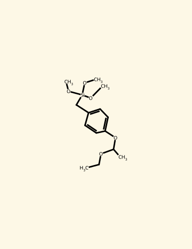 CCOC(C)Oc1ccc(C[Si](OC)(OC)OC)cc1